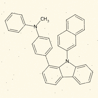 CN(c1ccccc1)c1ccc(-c2cccc3c4ccccc4n(-c4ccc5ccccc5c4)c23)cc1